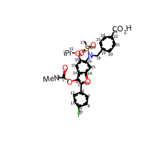 CNC(=O)Oc1c(-c2ccc(F)cc2)oc2cc(N(Cc3ccc(C(=O)O)cc3)S(C)(=O)=O)c(OC(C)C)cc12